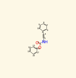 O=C(NC#Cc1ccccc1)Oc1ccccc1